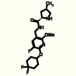 COc1nc(OC2CCC(F)(F)CC2)c(F)cc1CNC(=O)[C@@H]1C[C@@H](C)CN1